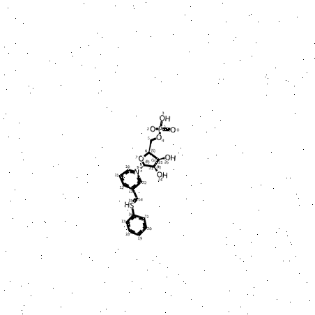 O=P([O-])(O)OC[C@@H]1O[C@@H]([n+]2cccc(C=[SH]c3ccccc3)c2)[C@H](O)[C@@H]1O